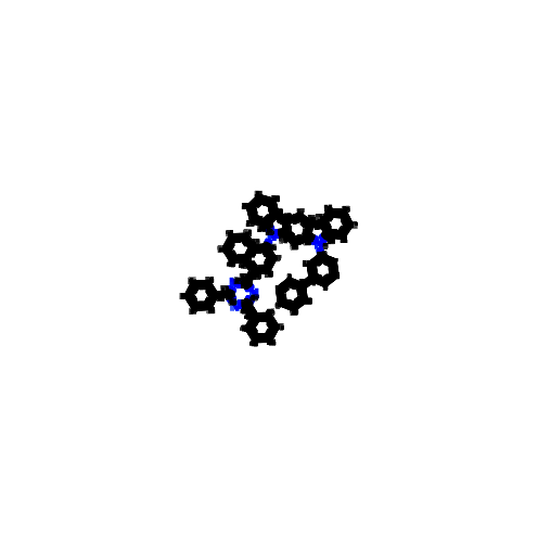 c1ccc(-c2cccc(-n3c4ccccc4c4cc5c6ccccc6n(-c6ccc(-c7nc(-c8ccccc8)nc(-c8ccccc8)n7)c7ccccc67)c5cc43)c2)cc1